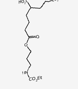 CCOC(=O)NCCCOC(=O)CCCC(CCC(=O)O)C(=O)O